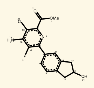 COC(=O)c1nc(-c2ccc3c(c2)CC(O)C3)c(F)c(N)c1Cl